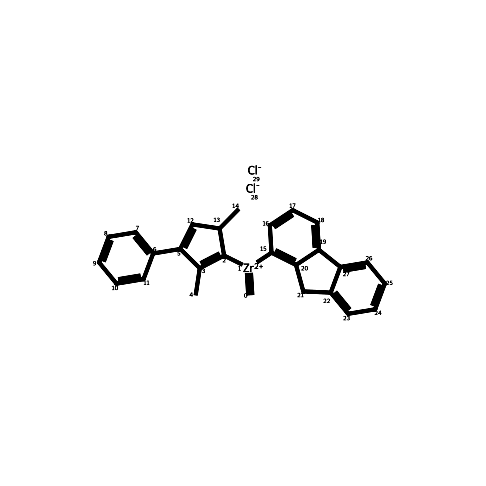 [CH2]=[Zr+2]([C]1=C(C)C(c2ccccc2)=CC1C)[c]1cccc2c1Cc1ccccc1-2.[Cl-].[Cl-]